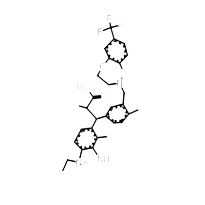 CCNc1ccc(C(c2ccc(C)c(CN3CCCc4cc(C(F)(F)F)ccc4O3)c2)C(C)C(=O)O)c(C)c1N